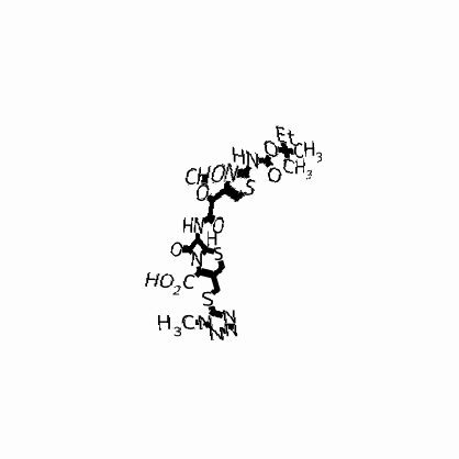 CCC(C)(C)OC(=O)Nc1nc(C(OC=O)C(=O)NC2C(=O)N3C(C(=O)O)=C(CSc4nnnn4C)CS[C@H]23)cs1